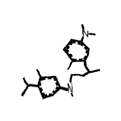 Cc1cc(N(C)CCC(C)c2cc(N(C)C)ccc2C)ccc1C(C)C